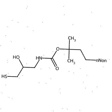 CCCCCCCCCCCC(C)(C)OC(=O)NCC(O)CS